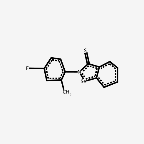 Cc1cc(F)ccc1-n1[se]c2ccccc2c1=S